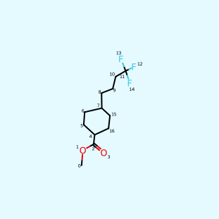 COC(=O)C1CCC(CCCC(F)(F)F)CC1